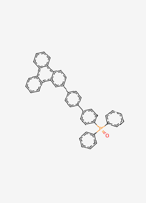 O=P(c1ccccc1)(c1ccccc1)c1ccc(-c2ccc(-c3ccc4c5ccccc5c5ccccc5c4c3)cc2)cc1